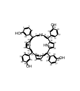 Oc1cccc(-c2cncc(-c3cccc(O)c3)c3ccc([nH]3)c(-c3cccc(O)c3)c3nc(c(-c4cccc(O)c4)c4ccc2[nH]4)C=C3)c1